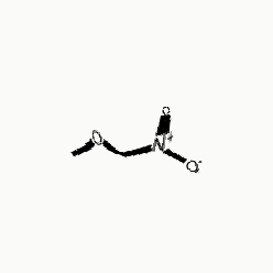 CO[CH][N+](=O)[O-]